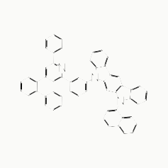 c1ccc(-c2cc(-c3ccccc3-c3ccccc3)cc(-c3cccc(-n4c5ccccc5c5cc6c7ccccc7n(-c7cccc8ccccc78)c6cc54)c3)n2)cc1